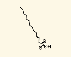 CCCCCCCCCCC=CCS(=O)(=O)O